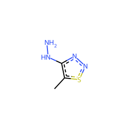 Cc1snnc1NN